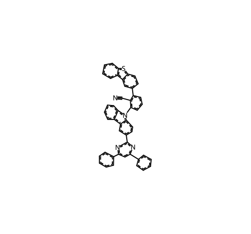 N#Cc1c(-c2ccc3sc4ccccc4c3c2)cccc1-n1c2ccccc2c2cc(-c3nc(-c4ccccc4)cc(-c4ccccc4)n3)ccc21